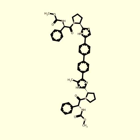 COC(=O)N[C@@H](C(=O)N1CCC[C@H]1c1ncc(-c2ccc(-c3ccc(-c4nc([C@@H]5CCCN5C(=O)[C@H](NC(=O)OC)c5ccccc5)[nH]c4C)cc3)cc2)[nH]1)c1ccccc1